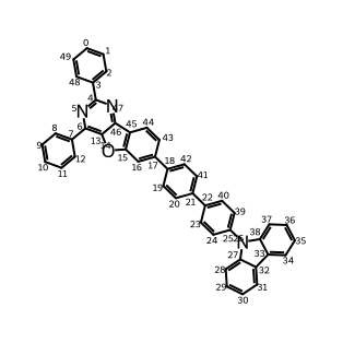 c1ccc(-c2nc(-c3ccccc3)c3oc4cc(-c5ccc(-c6ccc(-n7c8ccccc8c8ccccc87)cc6)cc5)ccc4c3n2)cc1